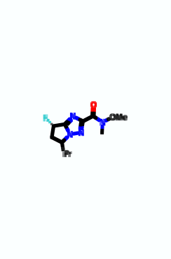 CON(C)C(=O)c1nc2n(n1)C(C(C)C)C[C@@H]2F